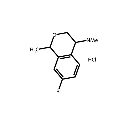 CNC1COC(C)c2cc(Br)ccc21.Cl